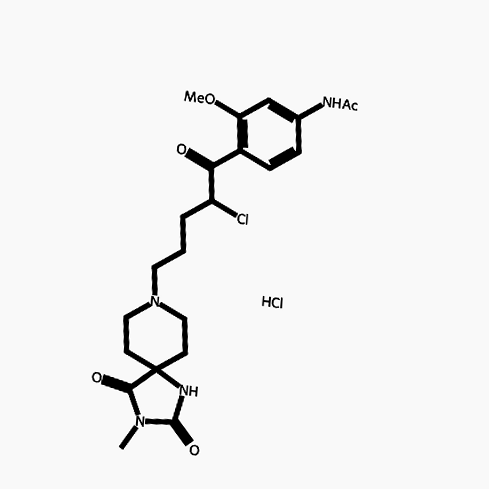 COc1cc(NC(C)=O)ccc1C(=O)C(Cl)CCCN1CCC2(CC1)NC(=O)N(C)C2=O.Cl